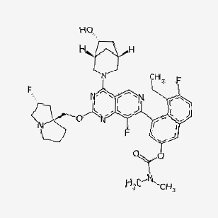 CCc1c(F)ccc2cc(OC(=O)N(C)C)cc(-c3ncc4c(N5C[C@@H]6C[C@H](C5)[C@H](O)C6)nc(OC[C@@]56CCCN5C[C@H](F)C6)nc4c3F)c12